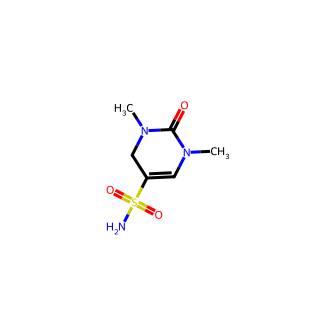 CN1C=C(S(N)(=O)=O)CN(C)C1=O